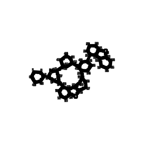 c1ccc(-c2nc3nc(n2)c2cccc4oc5ccc(cc5c42)c2ccc(-c4cccc5oc6ccccc6c45)cc2c2cccc3c2)cc1